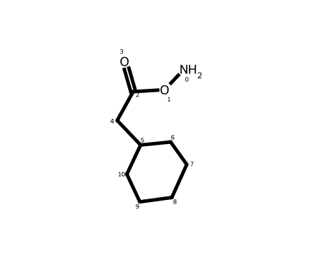 NOC(=O)CC1CCCCC1